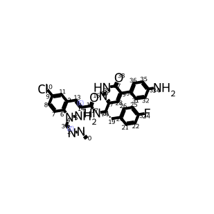 C=N/N=C\N(N)c1ccc(Cl)cc1/C=C/C(=O)N[C@@H](Cc1ccc(F)cc1)c1cc(-c2ccc(N)cc2)c(=O)[nH]n1